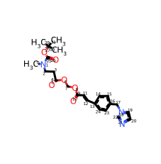 CN(CCC(=O)OCOC(=O)/C=C/c1ccc(Cn2ccnc2)cc1)C(=O)OC(C)(C)C